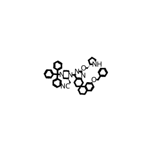 N#CC[C@H]1CN(C(c2ccccc2)(c2ccccc2)c2ccccc2)CCN1c1nc(OC[C@@H]2CCCN2)nc2c1CCC1(CCCc3ccc(OCc4ccccc4)cc31)C2